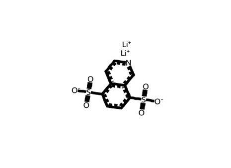 O=S(=O)([O-])c1ccc(S(=O)(=O)[O-])c2cnccc12.[Li+].[Li+]